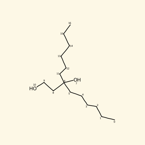 CCCCCCC(O)(CCO)CCCCCC